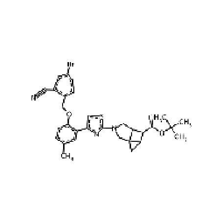 Cc1ccc(OCc2ccc(Br)cc2C#N)c(-c2csc(N3CC4C(C(=O)OC(C)(C)C)C5CC45C3)n2)c1